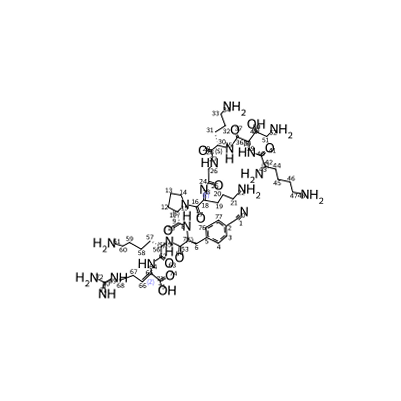 N#Cc1ccc(C[C@H](NC(=O)[C@@H]2CCCN2C(=O)/C(CCCN)=N/C(=O)CNC(=O)[C@H](CCCN)NC(=O)[C@@H](NC(=O)[C@@H](N)CCCCN)[C@@H](O)CN)C(=O)N[C@@H](CCCCN)C(=O)N/C(=C\CCNC(=N)N)C(=O)O)cc1